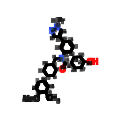 COc1ccc([C@H]2CC[C@H](CN(c3cccc(-c4cnn(C(C)C)c4)c3)C(=O)[C@H]3CC[C@H](O)CC3)CC2)cc1C